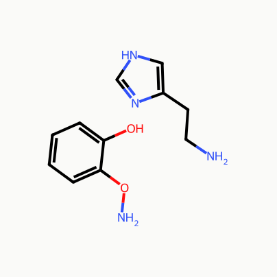 NCCc1c[nH]cn1.NOc1ccccc1O